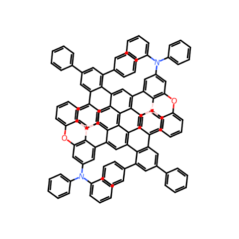 c1ccc(-c2cc(-c3ccccc3)c(-c3cc4c5c(cc6c(-c7c(-c8ccccc8)cc(-c8ccccc8)cc7-c7ccccc7)cc7c8c(cc3c5c68)B3c5ccccc5Oc5cc(N(c6ccccc6)c6ccccc6)cc-7c53)B3c5ccccc5Oc5cc(N(c6ccccc6)c6ccccc6)cc-4c53)c(-c3ccccc3)c2)cc1